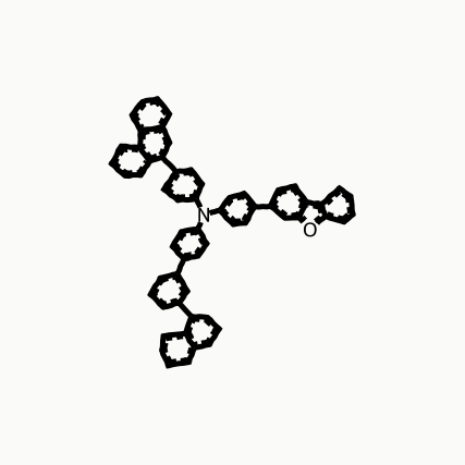 c1cc(-c2ccc(N(c3ccc(-c4ccc5c(c4)oc4ccccc45)cc3)c3ccc(-c4cc5ccccc5c5ccccc45)cc3)cc2)cc(-c2cccc3ccccc23)c1